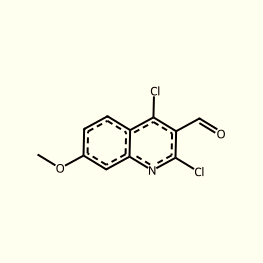 COc1ccc2c(Cl)c(C=O)c(Cl)nc2c1